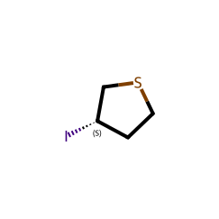 I[C@H]1CCSC1